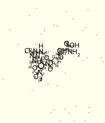 C#CCN1C(=O)COc2cc(F)c(N3C(=O)C4=C(CCCC4)C3=O)cc21.CCNc1nc(Cl)nc(NCC)n1.CP(=O)(O)CCC(N)C(=O)O